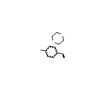 C1CNCCN1.O=Cc1ccc(Br)cc1